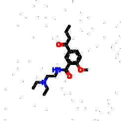 CCCC(=O)c1ccc(OC)c(C(=O)NCCN(CC)CC)c1